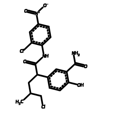 CC(CCl)CC(C(=O)Nc1ccc([N+](=O)[O-])cc1Cl)c1ccc(O)c(C(N)=O)c1